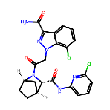 NC(=O)c1nn(CC(=O)N2[C@@H]3CC[C@@H](C3)[C@H]2C(=O)Nc2cccc(Cl)n2)c2c(Cl)cccc12